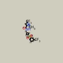 Cn1nc(C(F)(F)F)cc1C(=O)NC[C@H]1C[C@H](S(=O)(=O)c2cccc(C(F)(F)F)c2)C1